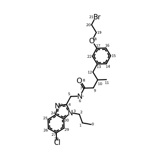 CCCn1c(C[N]C(=O)CC(C)Cc2cccc(OCCBr)c2)nc2ccc(Cl)cc21